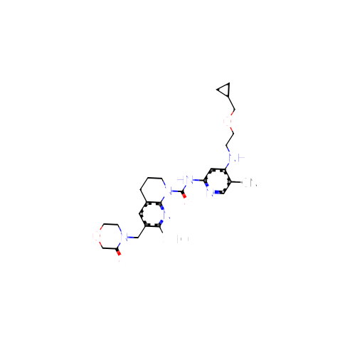 N#Cc1cnc(NC(=O)N2CCCc3cc(CN4CCOCC4=O)c(C=O)nc32)cc1NCCOCC1CC1